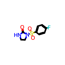 O=C1NCCN1S(=O)(=O)c1ccc(F)cc1